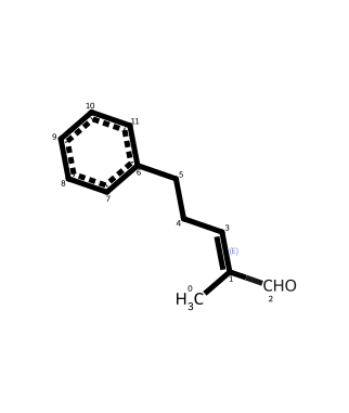 C/C(C=O)=C\CCc1ccccc1